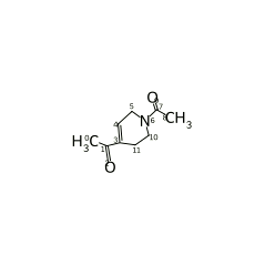 CC(=O)C1=CCN(C(C)=O)CC1